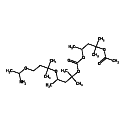 CC(=O)OC(C)(C)CC(C)OC(=O)OC(C)(C)CC(C)OC(C)(C)CCOC(C)N